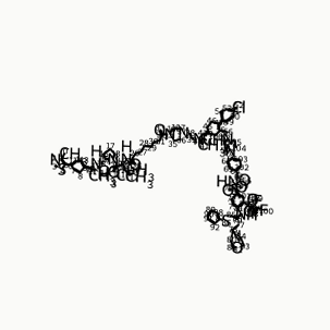 Cc1ncsc1-c1ccc([C@H](C)NC(=O)[C@@H]2CCCN2C(=O)[C@@H](NC(=O)CCCCCCC(=O)N2CCN(CCN(C)CC3(C)CCC(c4ccc(Cl)cc4)=C(CN4CCN(c5ccc(C(=O)NS(=O)(=O)c6ccc(N[C@H](CCN7CCOCC7)CSc7ccccc7)c(S(=O)(=O)C(F)(F)F)c6)cc5)CC4)C3)CC2)C(C)(C)C)cc1